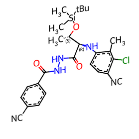 [C-]#[N+]c1ccc(N[C@@H](C(=O)NNC(=O)c2ccc(C#N)cc2)[C@H](C)O[Si](C)(C)C(C)(C)C)c(C)c1Cl